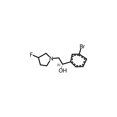 O[C@H](CN1CCC(F)C1)c1cccc(Br)c1